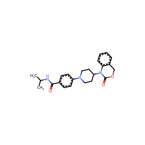 CC(C)NC(=O)c1ccc(N2CCC(N3C(=O)OCc4ccccc43)CC2)cc1